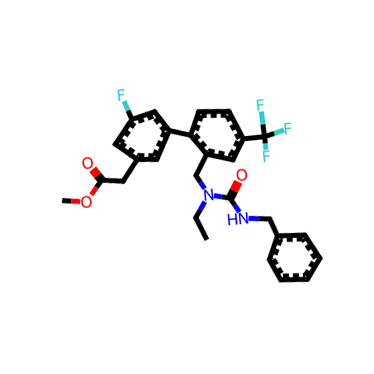 CCN(Cc1cc(C(F)(F)F)ccc1-c1cc(F)cc(CC(=O)OC)c1)C(=O)NCc1ccccc1